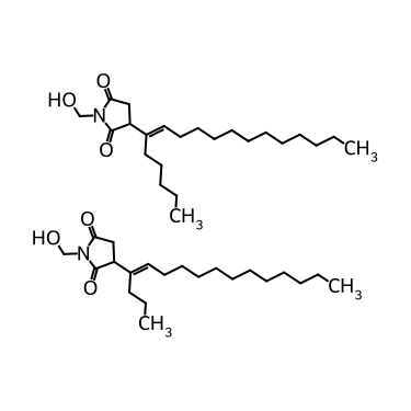 CCCCCCCCCCCC=C(CCC)C1CC(=O)N(CO)C1=O.CCCCCCCCCCCC=C(CCCCC)C1CC(=O)N(CO)C1=O